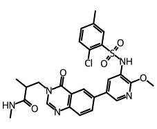 CNC(=O)C(C)Cn1cnc2ccc(-c3cnc(OC)c(NS(=O)(=O)c4cc(C)ccc4Cl)c3)cc2c1=O